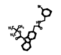 CC(C)(C)OC(=O)n1c2ccccc2c2ccc(CC(=O)NCc3cccc(Br)c3)cc21